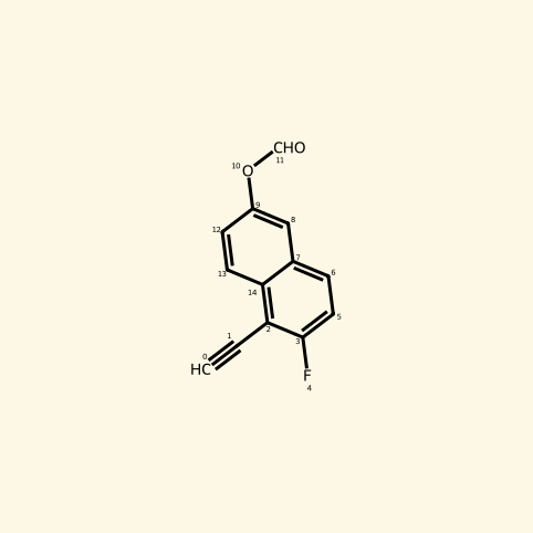 C#Cc1c(F)ccc2cc(OC=O)ccc12